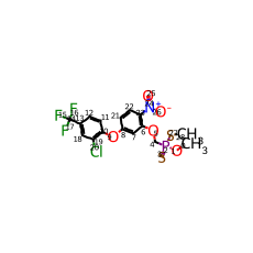 COP(=S)(COc1cc(Oc2ccc(C(F)(F)F)cc2Cl)ccc1[N+](=O)[O-])SC